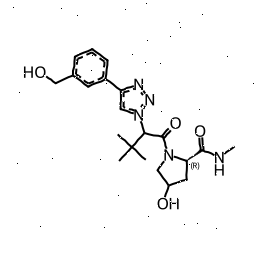 CNC(=O)[C@H]1CC(O)CN1C(=O)C(n1cc(-c2cccc(CO)c2)nn1)C(C)(C)C